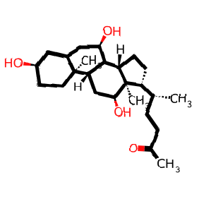 CC(=O)CC[C@@H](C)[C@H]1CC[C@H]2C3[C@H](O)CC4C[C@H](O)CC[C@]4(C)[C@H]3C[C@H](O)[C@]12C